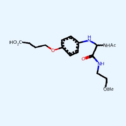 COCCNC(=O)C(NC(C)=O)Nc1ccc(OCCCC(=O)O)cc1